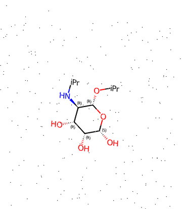 CC(C)N[C@H]1[C@H](OC(C)C)O[C@H](O)[C@H](O)[C@@H]1O